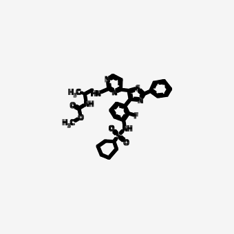 COC(=O)N[C@@H](C)CNc1nccc(-c2sc(-c3ccccc3)nc2-c2cccc(NS(=O)(=O)C3CCCCC3)c2F)n1